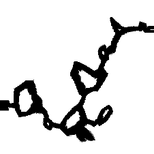 CC(=O)C1CC1COc1ccc(-c2cc(Oc3cccc(F)c3)cnc2Cl)cc1